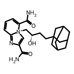 NC(=O)C1=C[N+]2(C[C@@H](O)CCC34CC5CC(CC(C5)C3)C4)C(C(N)=O)=CC=CC2=N1